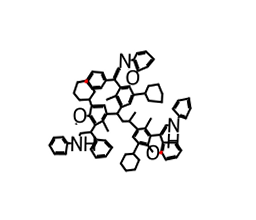 COc1c(C2CCCCC2)cc(C(C)CC(c2cc(C3CCCCC3)c(OC)c(C(=C=Nc3ccccc3)c3ccccc3)c2C)c2cc(C3CCCCC3)c(OC)c(C(CNc3ccccc3)c3ccccc3)c2C)c(C)c1C(=CNc1ccccc1)c1ccccc1